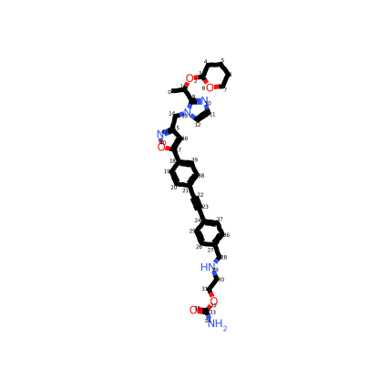 CC(OC1CCCCO1)c1nccn1Cc1cc(-c2ccc(C#Cc3ccc(CNCCOC(N)=O)cc3)cc2)on1